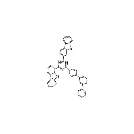 c1ccc(-c2cccc(-c3ccc(-c4nc(-c5ccc6c(c5)sc5ccccc56)nc(-c5cccc6c5oc5ccccc56)n4)cc3)c2)cc1